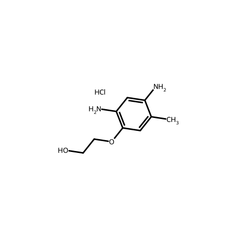 Cc1cc(OCCO)c(N)cc1N.Cl